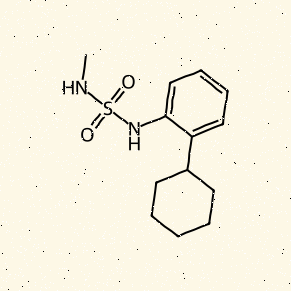 CNS(=O)(=O)Nc1ccccc1C1CCCCC1